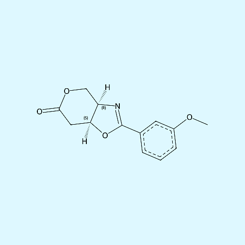 COc1cccc(C2=N[C@@H]3COC(=O)C[C@@H]3O2)c1